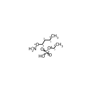 CCCCON.CCOS(=O)(=O)O